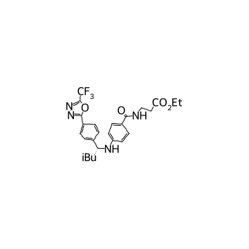 CCOC(=O)CCNC(=O)c1ccc(N[C@@H](c2ccc(-c3nnc(C(F)(F)F)o3)cc2)C(C)CC)cc1